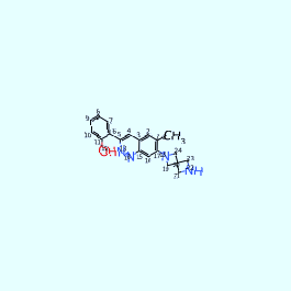 Cc1cc2cc(-c3ccccc3O)nnc2cc1N1CC2(CNC2)C1